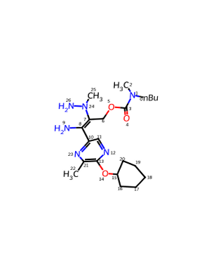 CCCCN(C)C(=O)OC/C(=C(/N)c1cnc(OC2CCCCC2)c(C)n1)N(C)N